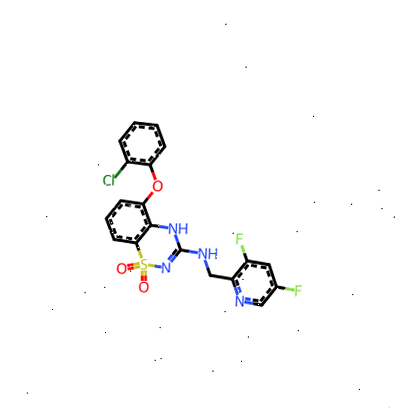 O=S1(=O)N=C(NCc2ncc(F)cc2F)Nc2c(Oc3ccccc3Cl)cccc21